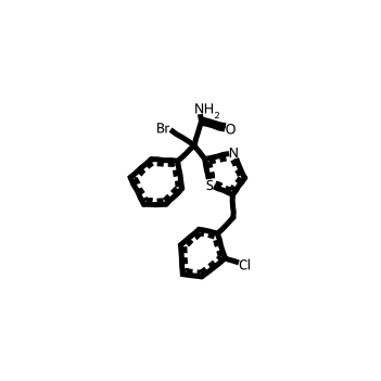 NC(=O)C(Br)(c1ccccc1)c1ncc(Cc2ccccc2Cl)s1